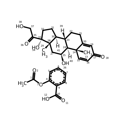 CC(=O)Oc1ccccc1C(=O)O.C[C@]12C=CC(=O)C=C1CC[C@@H]1[C@@H]2[C@@H](O)C[C@@]2(C)[C@H]1CC[C@]2(O)C(=O)CO